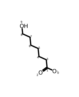 [O]C(=O)CCCCCCO